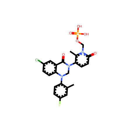 Cc1cc(F)ccc1N1CN(c2ccc(=O)n(COP(=O)(O)O)c2C)C(=O)c2cc(Cl)ccc21